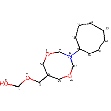 OCOCC1COCN(C2CCCCCCC2)COC1